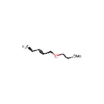 C=C/C=C/COCCOC